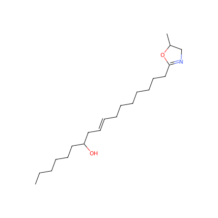 CCCCCCC(O)CC=CCCCCCCCC1=NCC(C)O1